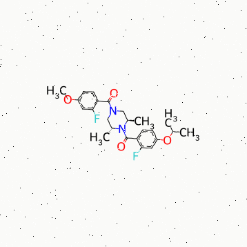 COc1ccc(C(=O)N2C[C@@H](C)N(C(=O)c3ccc(OC(C)C)cc3F)[C@H](C)C2)c(F)c1